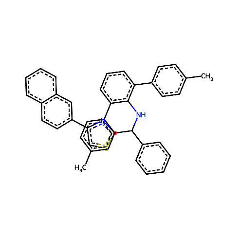 Cc1ccc(-c2cccc(-c3ccc(C)cc3)c2NC(c2ccccc2)c2nc(-c3ccc4ccccc4c3)cs2)cc1